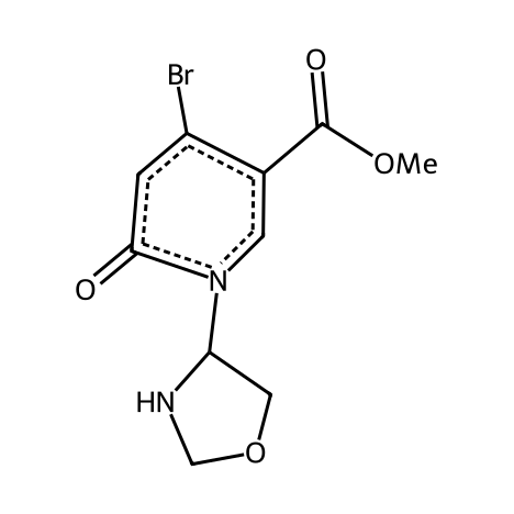 COC(=O)c1cn(C2COCN2)c(=O)cc1Br